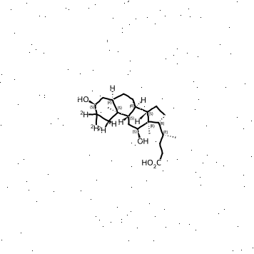 [2H]C1([2H])[C@@H](O)C[C@H]2CC[C@H]3[C@@H]4CC[C@H]([C@H](C)CCC(=O)O)[C@@]4(C)[C@@H](O)C[C@@H]3[C@@]2(C)C1([2H])[2H]